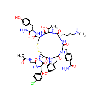 CNCCCC[C@@H]1NC(=O)[C@@H](Cc2ccc(C(N)=O)cc2)NC(=O)[C@H](Cc2ccc(O)cc2)NC(=O)[C@H](NC(=O)[C@H](Cc2ccc(Cl)cc2)NC(=O)CNC(C)=O)CSSC[C@@H](C(=O)N[C@H](Cc2ccc(O)cc2)C(N)=O)NC(=O)C(C(C)O)NC1=O